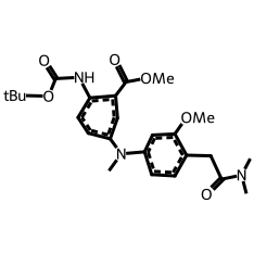 COC(=O)c1cc(N(C)c2ccc(CC(=O)N(C)C)c(OC)c2)ccc1NC(=O)OC(C)(C)C